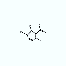 O=C(F)c1c(F)ccc(Cl)c1F